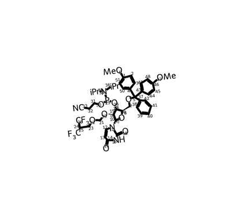 COc1ccc(C(OC[C@H]2O[C@@H](n3ccc(=O)[nH]c3=O)[C@H](OCOCC(C(F)(F)F)C(F)(F)F)[C@@H]2OP(OCCC#N)N(C(C)C)C(C)C)(c2ccccc2)c2ccc(OC)cc2)cc1